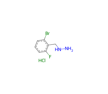 Cl.NNCc1c(F)cccc1Br